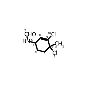 CC1(Cl)CCC(NC=O)C=C1Cl